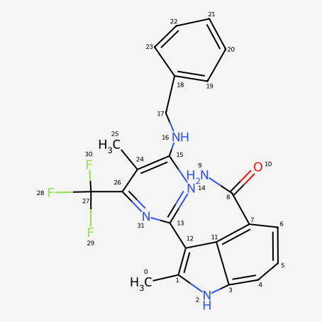 Cc1[nH]c2cccc(C(N)=O)c2c1-c1nc(NCc2ccccc2)c(C)c(C(F)(F)F)n1